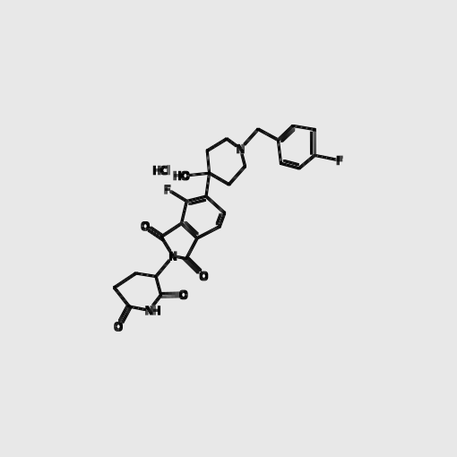 Cl.O=C1CCC(N2C(=O)c3ccc(C4(O)CCN(Cc5ccc(F)cc5)CC4)c(F)c3C2=O)C(=O)N1